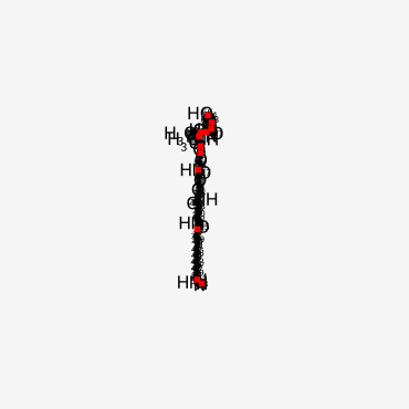 CC[C@H](C)[C@H](NC(=O)COCCOCCNC(=O)COCCOCCNC(=O)CCCCSNC(=O)CCCCCCCCCCCCCCCc1nnn[nH]1)C(=O)CN[C@@H](Cc1ccc(O)cc1)C(N)=O